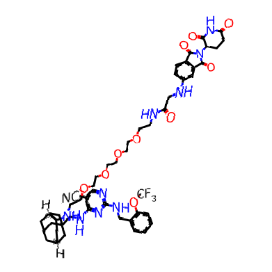 N#Cc1cnc(NCc2ccccc2OC(F)(F)F)nc1NCC12CC3C[C@H](C1)C(NCCOCCOCCOCCOCCNC(=O)CNc1ccc4c(c1)C(=O)N(C1CCC(=O)NC1=O)C4=O)[C@@H](C3)C2